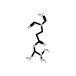 C=CN(C=O)CCC(=O)OC(C)N(C)C